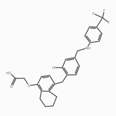 O=C(O)COc1ccc(Cc2ccc(CNc3ccc(C(F)(F)F)cc3)cc2Cl)c2c1CCCC2